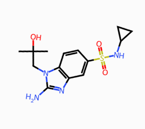 CC(C)(O)Cn1c(N)nc2cc(S(=O)(=O)NC3CC3)ccc21